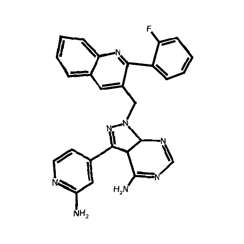 NC1=NC=NC2C1C(c1ccnc(N)c1)=NN2Cc1cc2ccccc2nc1-c1ccccc1F